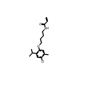 C=CC(=O)NCCCCOc1cc(C)c(Cl)cc1C(C)C